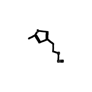 Cc1cc(CCOC=O)cs1